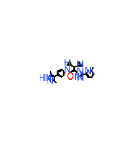 Cc1cccc(-c2nnc(C(C(=O)Nc3ccc(-c4c(C)n[nH]c4C)cc3)C(C3CC3)C3CC3)[nH]2)n1